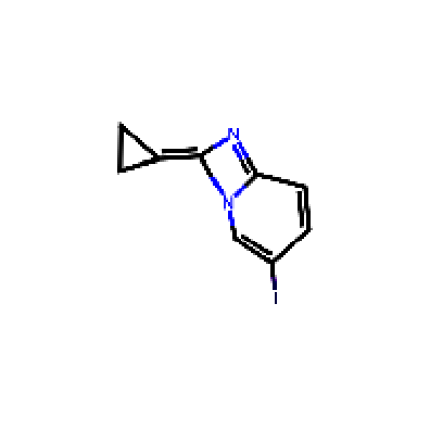 IC1=CN2C(=NC2=C2CC2)C=C1